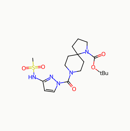 CC(C)(C)OC(=O)N1CCCC12CCN(C(=O)n1ccc(NS(C)(=O)=O)n1)CC2